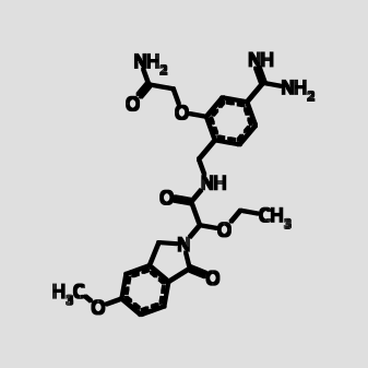 CCOC(C(=O)NCc1ccc(C(=N)N)cc1OCC(N)=O)N1Cc2cc(OC)ccc2C1=O